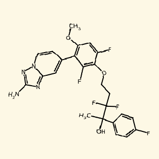 COc1cc(F)c(OCCC(F)(F)C(C)(O)c2ccc(F)cc2)c(F)c1-c1ccn2nc(N)nc2c1